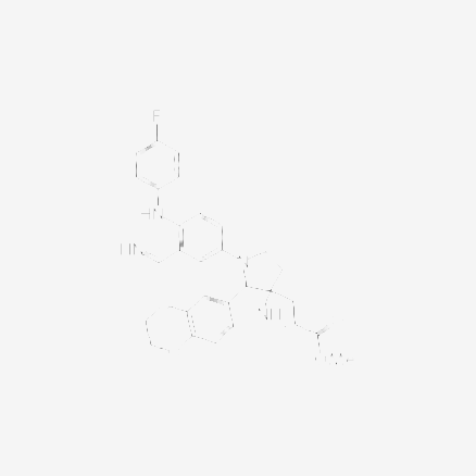 COC(=O)CCC1(N)CCN(c2ccc(Nc3ccc(F)cc3)c(C=N)c2)C1c1ccc2c(c1)OCCO2